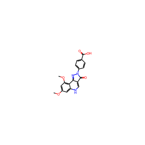 COc1cc(OC)c2c3nn(-c4ccc(C(=O)O)cc4)c(=O)c-3c[nH]c2c1